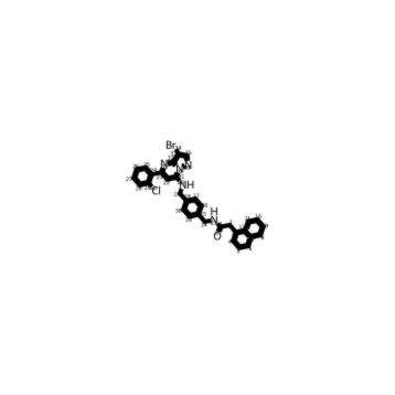 O=C(Cc1cccc2ccccc12)NCc1ccc(CNc2cc(-c3ccccc3Cl)nc3c(Br)cnn23)cc1